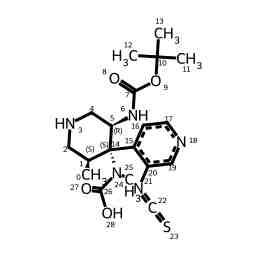 C[C@H]1CNC[C@@H](NC(=O)OC(C)(C)C)[C@]1(c1ccncc1N=C=S)N(C)C(=O)O